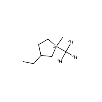 [2H]C([2H])([2H])[Si]1(C)CCC(CC)C1